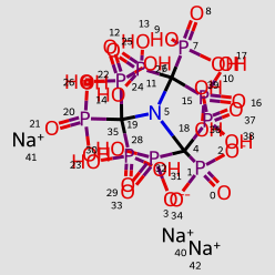 O=P([O-])([O-])C(N(C(P(=O)(O)O)(P(=O)(O)O)P(=O)(O)O)C(P(=O)(O)O)(P(=O)(O)O)P(=O)(O)O)(P(=O)([O-])O)P(=O)(O)O.[Na+].[Na+].[Na+]